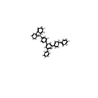 C1=Cc2c(n(-c3ccc(-c4cc(-c5ccccc5)nc(-c5ccc(-c6ccccc6)cc5)c4)cc3)c3ccccc23)CC1